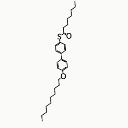 CCCCCCCCCCOc1ccc(-c2ccc(SC(=O)CCCCCCC)cc2)cc1